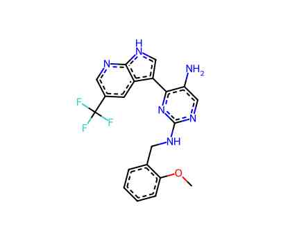 COc1ccccc1CNc1ncc(N)c(-c2c[nH]c3ncc(C(F)(F)F)cc23)n1